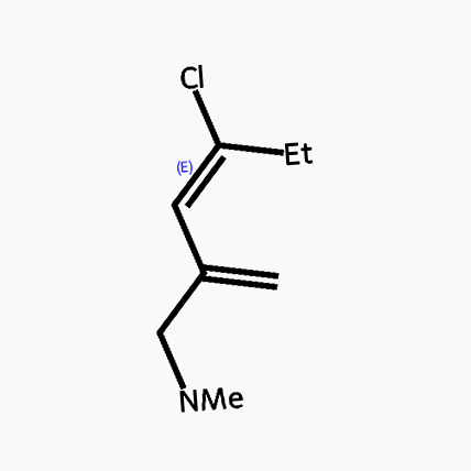 C=C(/C=C(/Cl)CC)CNC